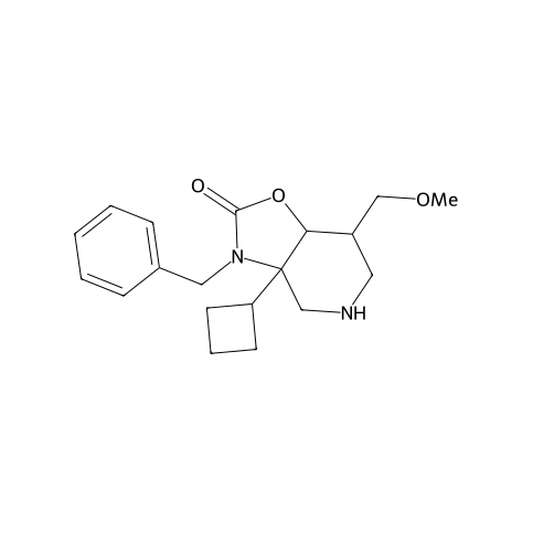 COCC1CNCC2(C3CCC3)C1OC(=O)N2Cc1ccccc1